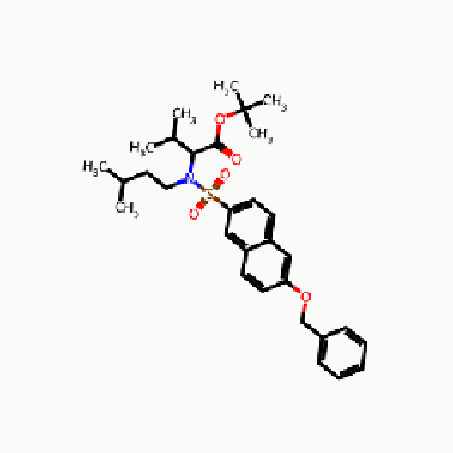 CC(C)CCN(C(C(=O)OC(C)(C)C)C(C)C)S(=O)(=O)c1ccc2cc(OCc3ccccc3)ccc2c1